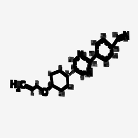 C=CCO[C@H]1CC[C@H](c2cnc(-c3ccc(C#N)cc3)nc2)CC1